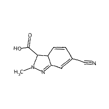 CN1N=C2C=C(C#N)C=CC2C1C(=O)O